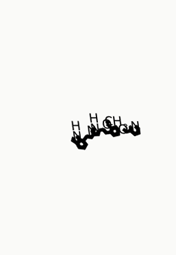 COc1cc(OCc2cccnc2)ccc1C=Cc1cc(C=Cc2cccc3cc[nH]c23)n[nH]1